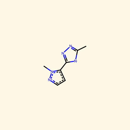 CC1=NN=C(c2ccnn2C)[N]1